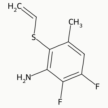 C=CSc1c(C)cc(F)c(F)c1N